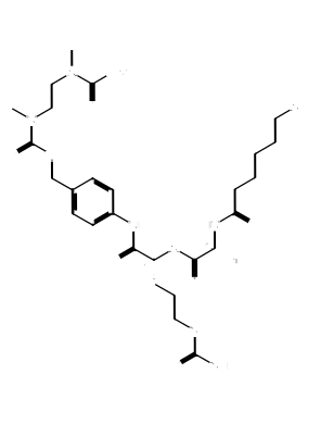 COC(=O)N(C)CCN(C)C(=O)OCc1ccc(NC(=O)[C@@H](CCCNC(N)=O)NC(=O)[C@H](NC(=O)CCCCCN)C(C)C)cc1